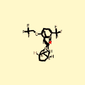 Cc1cc(N2C[C@H]3CC[C@@H](C2)[C@]3(C)Nc2nc3c(OCC(F)(F)F)ccc(C(F)(F)F)n3n2)on1